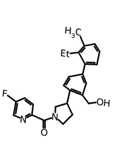 CCc1c(C)cccc1-c1ccc(C2CCN(C(=O)c3ccc(F)cn3)C2)c(CO)c1